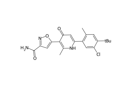 Cc1cc(C(C)(C)C)c(Cl)cc1-c1cc(=O)c(-c2cc(C(N)=O)no2)c(C)[nH]1